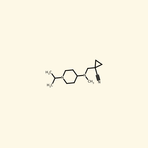 CC(C)N1CCC(N(C)CC2(C#N)CC2)CC1